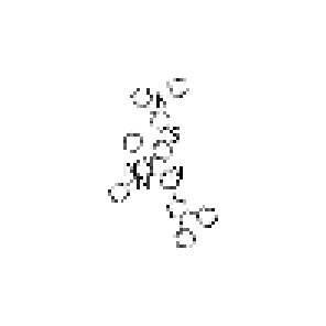 c1ccc(-c2nc(-c3ccccc3)nc(-c3cc(-c4ccc(-c5ccccc5)c(-c5ccccc5)c4)cnc3-c3ccc4c(c3)sc3cc5c(cc34)c3ccccc3n5-c3ccccc3)n2)cc1